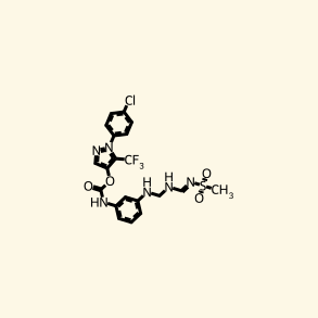 CS(=O)(=O)N=CNCNc1cccc(NC(=O)Oc2cnn(-c3ccc(Cl)cc3)c2C(F)(F)F)c1